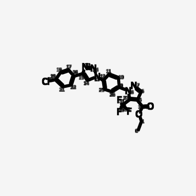 CCOC(=O)c1cnn(-c2ccc(-n3cc(-c4ccc(Cl)cc4)nn3)cc2)c1C(F)(F)F